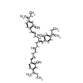 CCN(C)c1ccc(C=NCCNCC[N+](=Cc2ccc(N(C)CC)cc2O)CCN=Cc2ccc(N(C)CC)cc2O)c(O)c1